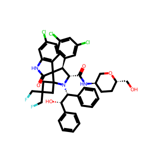 O=C(N[C@@H]1CC[C@@H](CO)OC1)[C@H]1[C@H](c2cc(Cl)cc(Cl)c2)C2(C(=O)Nc3cc(Cl)ccc32)C2(CC(CF)(CF)C2)N1[C@H](c1ccccc1)[C@@H](O)c1ccccc1